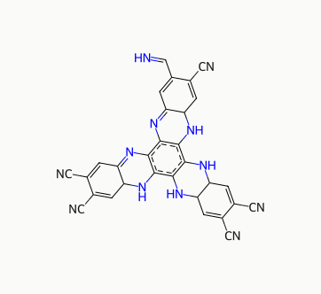 N#CC1=CC2=Nc3c4c(c5c(c3NC2C=C1C#N)NC1C=C(C#N)C(C#N)=CC1N5)NC1C=C(C#N)C(C=N)=CC1=N4